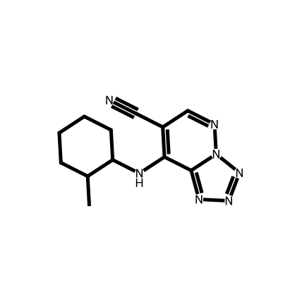 CC1CCCCC1Nc1c(C#N)cnn2nnnc12